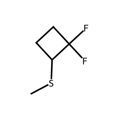 CSC1CCC1(F)F